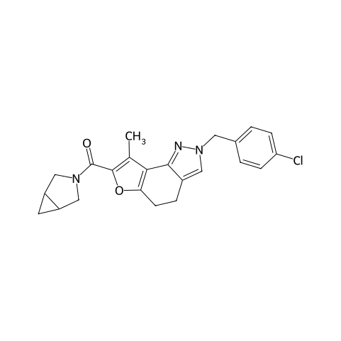 Cc1c(C(=O)N2CC3CC3C2)oc2c1-c1nn(Cc3ccc(Cl)cc3)cc1CC2